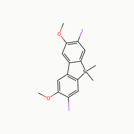 COc1cc2c(cc1I)[Si](C)(C)c1cc(I)c(OC)cc1-2